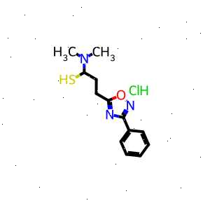 CN(C)C(S)CCc1nc(-c2ccccc2)no1.Cl